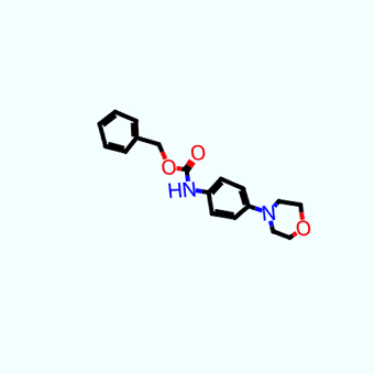 O=C(Nc1ccc(N2CCOCC2)cc1)OCc1ccccc1